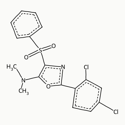 CN(C)c1oc(-c2ccc(Cl)cc2Cl)nc1S(=O)(=O)c1ccccc1